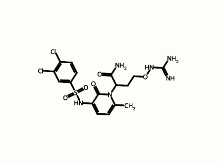 Cc1ccc(NS(=O)(=O)c2ccc(Cl)c(Cl)c2)c(=O)n1C(CCONC(=N)N)C(N)=O